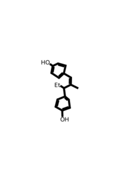 CCC(C(C)=Cc1ccc(O)cc1)c1ccc(O)cc1